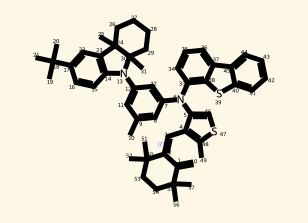 C=C1/C(=C\c2c(N(c3cc(C)cc(N4c5ccc(C(C)(C)C)cc5C5(C)CCCCC45C)c3)c3cccc4c3sc3ccccc34)csc2C)C(C)(C)CCC1(C)C